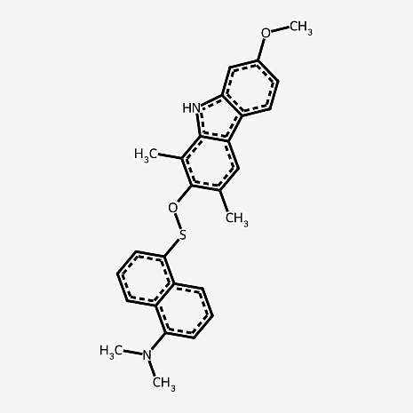 COc1ccc2c(c1)[nH]c1c(C)c(OSc3cccc4c(N(C)C)cccc34)c(C)cc12